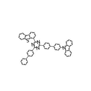 c1ccc(-c2ccc(-c3nc(-c4ccc(-c5ccc(-n6c7ccccc7c7ccccc76)cc5)cc4)nc(-c4cccc5c4sc4ccccc45)n3)cc2)cc1